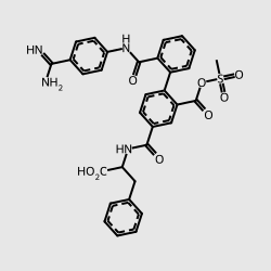 CS(=O)(=O)OC(=O)c1cc(C(=O)NC(Cc2ccccc2)C(=O)O)ccc1-c1ccccc1C(=O)Nc1ccc(C(=N)N)cc1